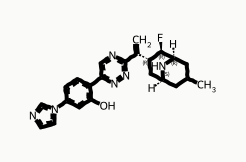 C=C(c1ncc(-c2ccc(-n3ccnc3)cc2O)nn1)[C@H]1C[C@@H]2CC(C)C[C@@H](N2)[C@@H]1F